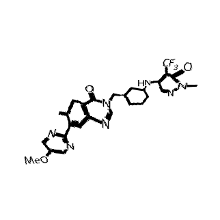 COc1cnc(-c2cc3ncn(C[C@@H]4CCC[C@H](Nc5cnn(C)c(=O)c5C(F)(F)F)C4)c(=O)c3cc2C)nc1